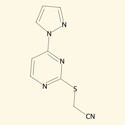 N#CCSc1nccc(-n2cccn2)n1